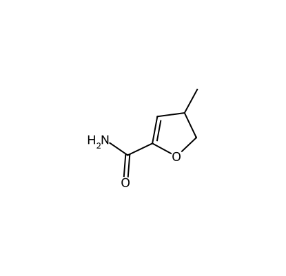 CC1C=C(C(N)=O)OC1